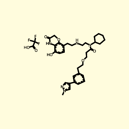 Cn1cc(-c2cccc(CCOCCC(=O)N(CCNCCc3ccc(O)c4c3OCC(=O)N4)C3CCCCC3)c2)cn1.O=C(O)C(F)(F)F